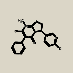 C[n+]1c([O-])c(-c2ccccc2)c(=O)n2c1SC[C@H]2c1ccc(Cl)nc1